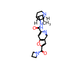 C[C@H]1[C@H](NC(=O)c2cc3oc(C(=O)N4CCC4)cc3cn2)C2CCN1CC2